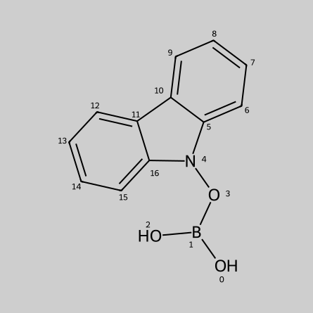 OB(O)On1c2ccccc2c2ccccc21